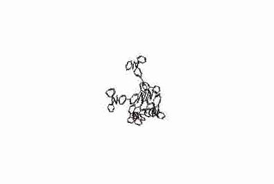 N#Cc1c(-c2nc3ccccc3s2)c(-c2cccc3c2oc2ccccc23)c(-n2c3ccccc3c3cc(-c4ccc(N(c5ccccc5)c5ccccc5)cc4)ccc32)c(-n2c3ccccc3c3cc(-c4ccc(N(c5ccccc5)c5ccccc5)cc4)ccc32)c1-c1cccc2c1oc1ccccc12